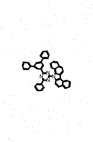 c1ccc(-c2cc(-c3ccccc3)cc(-c3nc(-c4ccccc4)nc(-n4c5ccc6ccccc6c5c5ccc6ccccc6c54)n3)c2)cc1